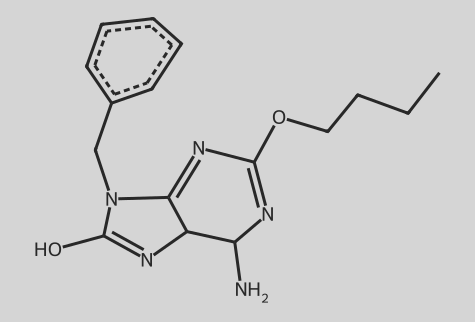 CCCCOC1=NC(N)C2N=C(O)N(Cc3ccccc3)C2=N1